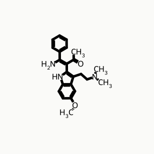 COc1ccc2[nH]c(/C(C(C)=O)=C(\N)c3ccccc3)c(CCN(C)C)c2c1